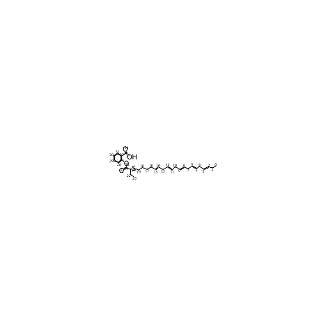 CCC=CCC=CCC=CCC=CCC=CCCCCSC(CC)C(=O)Oc1ccccc1C(=O)O